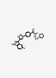 CCN1CCC[C@H]1CNC(=O)c1ccc(-n2cc(-c3n[nH]c4ccc(C)cc34)nn2)cc1